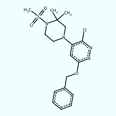 CC1(C)CN(c2cc(OCc3ccccc3)nnc2Cl)CCN1S(C)(=O)=O